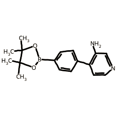 CC1(C)OB(c2ccc(-c3ccncc3N)cc2)OC1(C)C